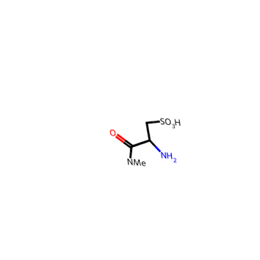 CNC(=O)C(N)CS(=O)(=O)O